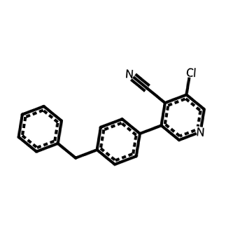 N#Cc1c(Cl)cncc1-c1ccc(Cc2ccccc2)cc1